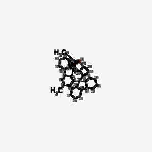 Cc1cc2c3c(c1)C1(c4ccccc4-c4ccccc41)c1cccc4c1[N+]3([n+]1ccccc1-2)[n+]1cc(C)ccc1-4